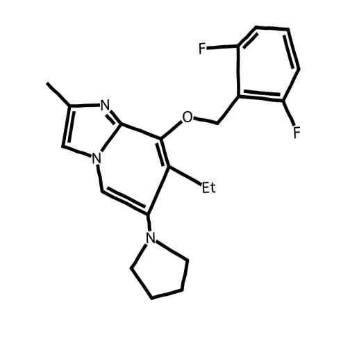 CCc1c(N2CCCC2)cn2cc(C)nc2c1OCc1c(F)cccc1F